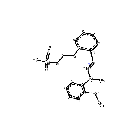 COc1ccccc1N(C)/N=C/c1cccc[n+]1CCCS(=O)(=O)[O-]